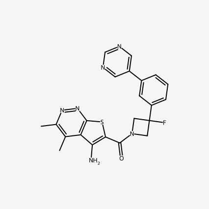 Cc1nnc2sc(C(=O)N3CC(F)(c4cccc(-c5cncnc5)c4)C3)c(N)c2c1C